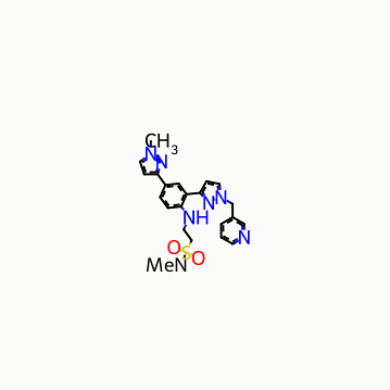 CNS(=O)(=O)CCNc1ccc(-c2ccn(C)n2)cc1-c1ccn(Cc2cccnc2)n1